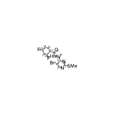 CSc1ncc(Br)c(N(C)NC(=O)c2ccc(F)cc2F)n1